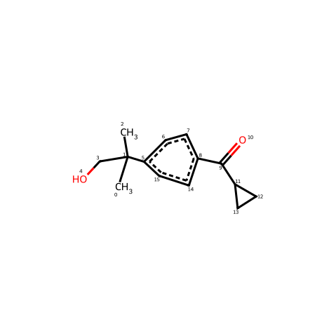 CC(C)(CO)c1ccc(C(=O)C2CC2)cc1